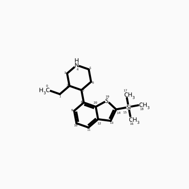 CCC1CNCCC1c1cccc2cc([Si](C)(C)C)sc12